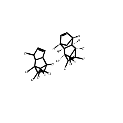 ClC1=C(Cl)C2(Cl)C3C(Cl)C=CC3C1(Cl)C2(Cl)Cl.ClC1=C(Cl)[C@]2(Cl)[C@H]3[C@H]([C@@H]4C=C[C@H]3C4)[C@@]1(Cl)C2(Cl)Cl